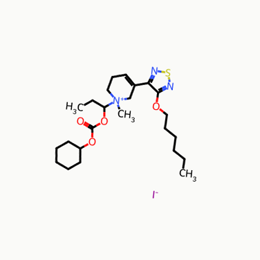 CCCCCCOc1nsnc1C1=CCC[N+](C)(C(CC)OC(=O)OC2CCCCC2)C1.[I-]